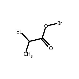 CCC(C)C(=O)OBr